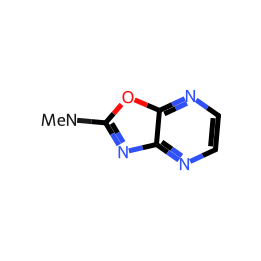 CNc1nc2nccnc2o1